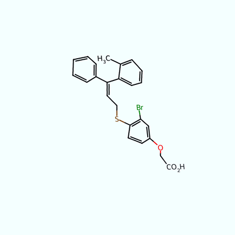 Cc1ccccc1/C(=C\CSc1ccc(OCC(=O)O)cc1Br)c1ccccc1